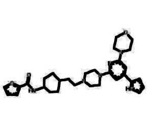 O=C(NC1CCC(CCN2CCN(c3cc(-c4ccc[nH]4)cc(N4CCOCC4)n3)CC2)CC1)c1ccco1